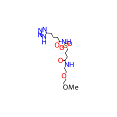 COCCOCCNC(=O)CCCS(=O)(=O)NC(=O)CCCc1nnn[nH]1